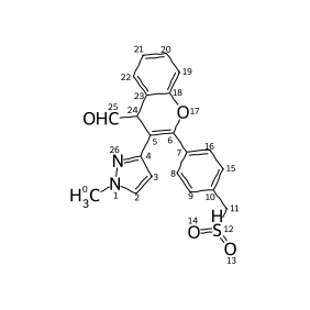 Cn1ccc(C2=C(c3ccc(C[SH](=O)=O)cc3)Oc3ccccc3C2C=O)n1